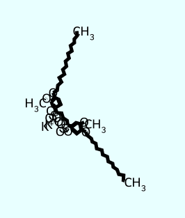 CCCCCCCCCCCCCCCCOc1ccc(C(CC(=O)CC(c2ccc(OCCCCCCCCCCCCCCCC)c(OC)c2)S(=O)(=O)[O-])S(=O)(=O)[O-])cc1OC.[K+].[K+]